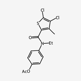 CCN(C(=O)c1sc(Cl)c(Cl)c1C)c1ccc(OC(C)=O)cc1